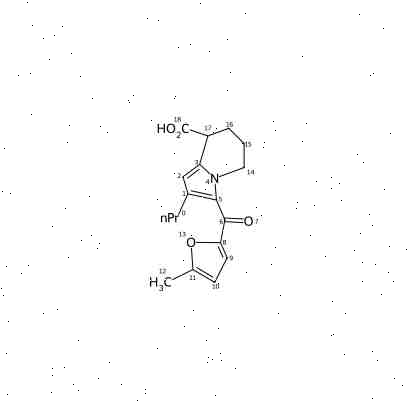 CCCc1cc2n(c1C(=O)c1ccc(C)o1)CCCC2C(=O)O